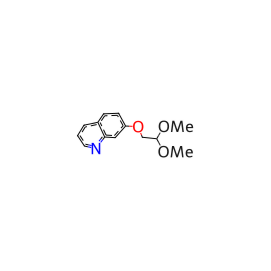 COC(COc1ccc2cccnc2c1)OC